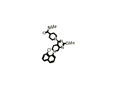 CNC(=O)C1CCN(c2nc(OC)nc3c2CCN(c2cccc4cccc(Cl)c24)C3)CC1